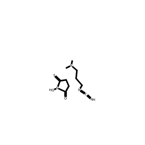 CN(C)CCCN=C=N.O=C1CCC(=S)N1O